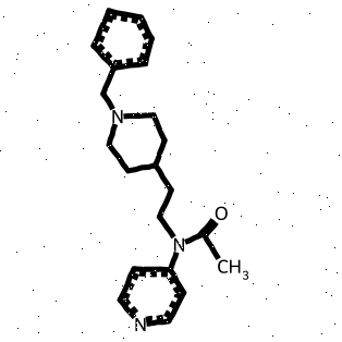 CC(=O)N(CCC1CCN(Cc2ccccc2)CC1)c1ccncc1